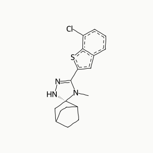 CN1C(c2cc3cccc(Cl)c3s2)=NN[C@]12CC1CCC2CC1